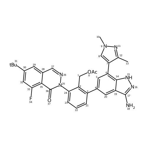 CC(=O)OCc1c(-c2cc(-c3cn(C)nc3C)c3[nH]nc(N)c3c2)cccc1-n1ncc2cc(C(C)(C)C)cc(F)c2c1=O